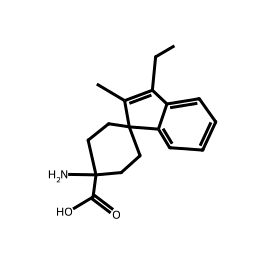 CCC1=C(C)C2(CCC(N)(C(=O)O)CC2)c2ccccc21